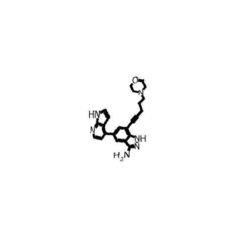 Nc1n[nH]c2c(C#CCCCN3CCOCC3)cc(-c3ccnc4[nH]ccc34)cc12